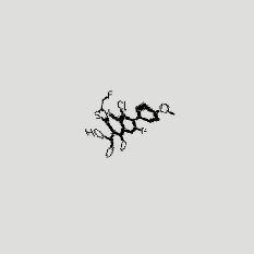 COc1ccc(-c2c(F)cc3c(=O)c(C(=O)O)c4n(c3c2Cl)C(CF)S4)cc1